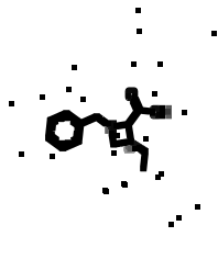 CC[C@H]1CN(Cc2ccccc2)C1C(=O)O